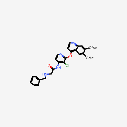 COc1cc2nccc(Oc3nccc(NC(=O)CNCc4ccccc4)c3Cl)c2cc1OC